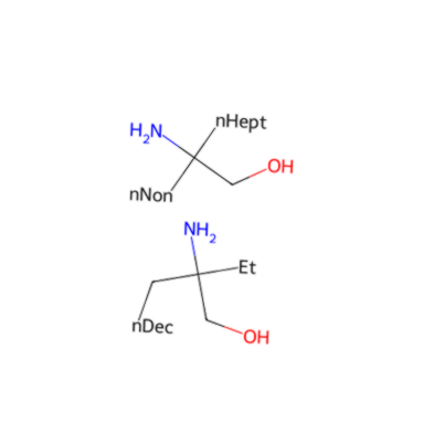 CCCCCCCCCC(N)(CO)CCCCCCC.CCCCCCCCCCCC(N)(CC)CO